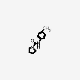 Cc1ccc(NC(=O)N2CCCC2)cc1